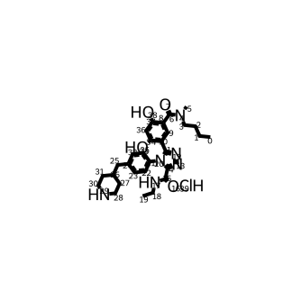 CCCCN(C)C(=O)c1cc(-c2nnc(C(=O)NCC)n2-c2ccc(CC3CCNCC3)cc2)c(O)cc1O.Cl